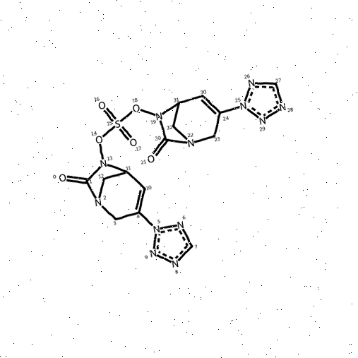 O=C1N2CC(n3ncnn3)=CC(C2)N1OS(=O)(=O)ON1C(=O)N2CC(n3ncnn3)=CC1C2